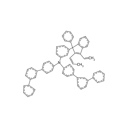 C=CC1=C(/C=C\C)C(c2ccccc2)(c2cccc(N(c3ccc(-c4cccc(-c5ccccc5)c4)cc3)c3ccc(-c4cccc(-c5ccccc5)c4)cc3)c2)c2ccccc21